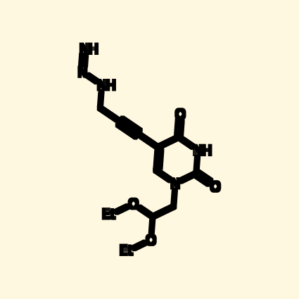 CCOC(Cn1cc(C#CCNN=N)c(=O)[nH]c1=O)OCC